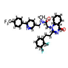 CN(Cc1ccc(-c2ccc(C(F)(F)F)cc2)nc1)C(=O)Cn1c(CCc2cccc(F)c2F)nc(=O)c2ccccc21